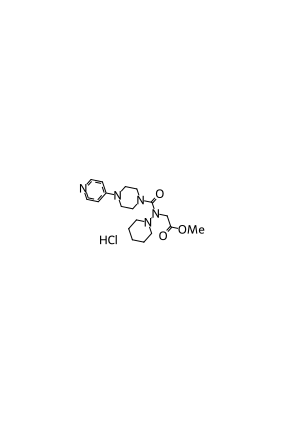 COC(=O)CN(C(=O)N1CCN(c2ccncc2)CC1)N1CCCCC1.Cl